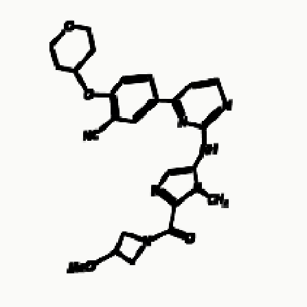 COC1CN(C(=O)c2ncc(Nc3nccc(-c4ccc(OC5CCOCC5)c(C#N)c4)n3)n2C)C1